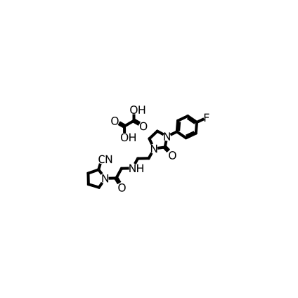 N#CC1CCCN1C(=O)CNCCN1CCN(c2ccc(F)cc2)C1=O.O=C(O)C(=O)O